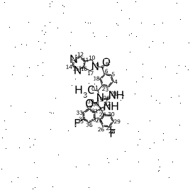 CC(c1cccc(C(=O)N2Cc3cncnc3C2)c1)N1C(=N)NC(c2ccc(F)cc2)(c2ccc(F)cc2)C1=O